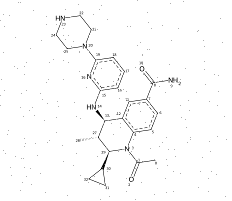 CC(=O)N1c2ccc(C(N)=O)cc2[C@H](Nc2cccc(N3CCNCC3)n2)[C@@H](C)[C@@H]1C1CC1